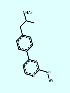 CC(=O)NC(C)Cc1ccc(-c2ccnc(NC(C)C)n2)cc1